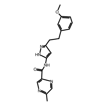 COc1cccc(CCc2cc(NC(=O)c3cnc(C)cn3)[nH]n2)c1